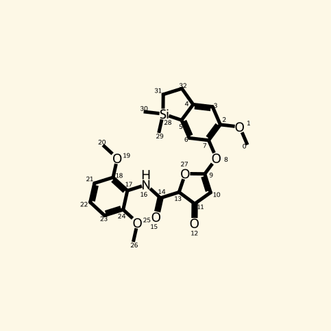 COc1cc2c(cc1OC1=CC(=O)C(C(=O)Nc3c(OC)cccc3OC)O1)[Si](C)(C)CC2